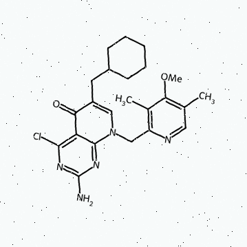 COc1c(C)cnc(Cn2cc(CC3CCCCC3)c(=O)c3c(Cl)nc(N)nc32)c1C